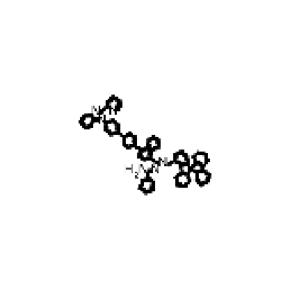 N/C(=N\C(=N/Cc1cccc2c1-c1ccccc1C2(C1=CC=CCC1)c1ccccc1)c1ccc(-c2ccc(-c3ccc(-n4c(-c5ccccn5)nc5ccccc54)cc3)cc2)c2ccccc12)c1ccccc1